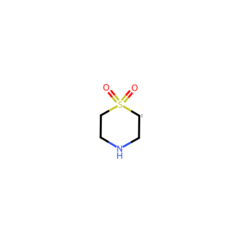 O=S1(=O)[C]CNCC1